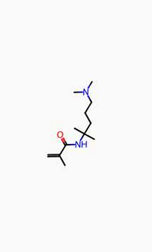 C=C(C)C(=O)NC(C)(C)CCCN(C)C